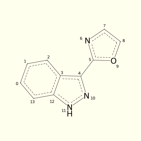 c1ccc2c(-c3ncco3)n[nH]c2c1